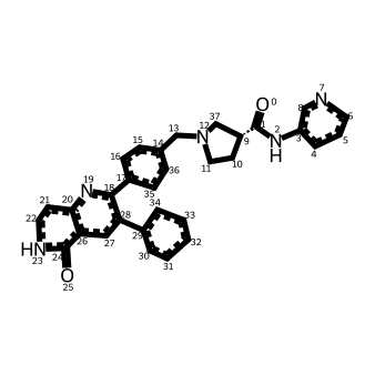 O=C(Nc1cccnc1)[C@@H]1CCN(Cc2ccc(-c3nc4cc[nH]c(=O)c4cc3-c3ccccc3)cc2)C1